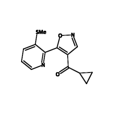 CSc1cccnc1-c1oncc1C(=O)C1CC1